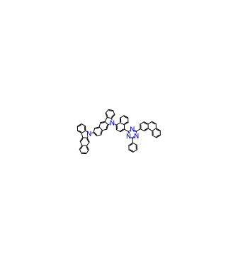 c1ccc(-c2nc(-c3ccc4ccc5ccccc5c4c3)nc(-c3ccc(-n4c5ccccc5c5cc6cc(-n7c8ccccc8c8cc9ccccc9cc87)ccc6cc54)c4ccccc34)n2)cc1